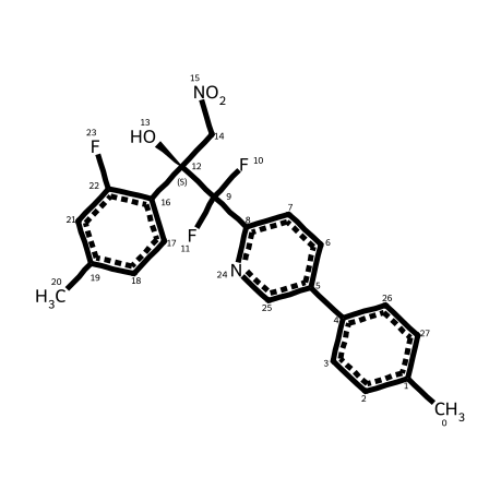 Cc1ccc(-c2ccc(C(F)(F)[C@@](O)(C[N+](=O)[O-])c3ccc(C)cc3F)nc2)cc1